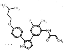 C=CC(=O)Nc1cc(-c2cc[nH]c2-c2ccc(OCCN(C)C)cc2)cc(F)c1C